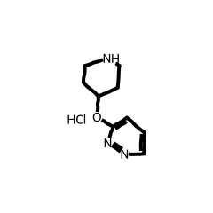 Cl.c1cnnc(OC2CCNCC2)c1